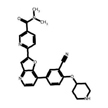 CN(C)C(=O)c1ccc(-c2cc3nccc(-c4ccc(OC5CCNCC5)c(C#N)c4)c3o2)nc1